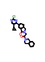 O=C(CN1Cc2ccc(-c3nc(Cl)ncc3C3CC3)cc2C1=O)N1CCc2ccccc2C1